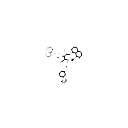 C#Cc1c(F)ccc2cccc(-c3nc(NCCc4cccc(S(=O)(=O)O)c4)c4cnc(OC[C@@]56CCCN5C[C@H](F)C6)nc4c3F)c12